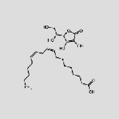 CCCCC/C=C\C/C=C\CCCCCCCC(=O)O.O=C1O[C@H]([C@@H](O)CO)C(O)=C1O